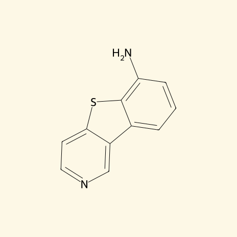 Nc1cccc2c1sc1ccncc12